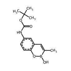 CC1=Cc2cc(NC(=O)OC(C)(C)C)ccc2OB1O